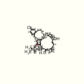 CN(C)S(=O)(=O)NC(=O)[C@]1(O)CC(=O)N2CC[C@@H]2C/C=C/[C@H](O)[C@@H]2CC[C@H]2CN2CCCCc3cc(Cl)ccc3COc3ccc1cc32